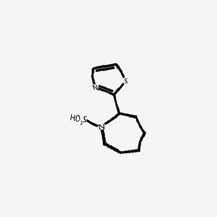 O=S(=O)(O)N1CCCCCC1c1nccs1